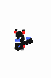 COc1cc2c(c(OC)c1)CC=C(C[C@@H]1C[C@H]3CC[C@@H](C1)N3CC(=O)CC[C@@H](N)C(C)(C)C)NC2